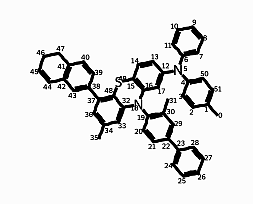 Cc1ccc(N(c2ccccc2)c2ccc3c(c2)N(c2ccc(-c4ccccc4)cc2C)c2cc(C)cc(-c4ccc5c(c4)C=CCC5)c2S3)cc1